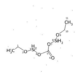 CCO[SiH2]OC(=O)O[SiH2]OCC